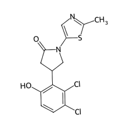 Cc1ncc(N2CC(c3c(O)ccc(Cl)c3Cl)CC2=O)s1